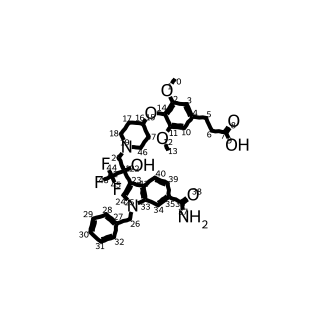 COc1cc(CCC(=O)O)cc(OC)c1OC1CCN(CC(O)(c2cn(Cc3ccccc3)c3cc(C(N)=O)ccc23)C(F)(F)F)CC1